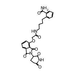 NC(=O)c1ccccc1CCCCNC(=O)COc1cccc2c1C(=O)N(C1CCC(=O)NC1=O)C2=O